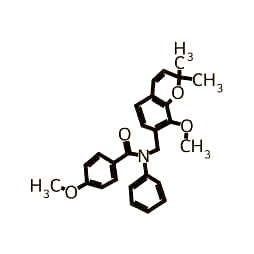 COc1ccc(C(=O)N(Cc2ccc3c(c2OC)OC(C)(C)C=C3)c2ccccc2)cc1